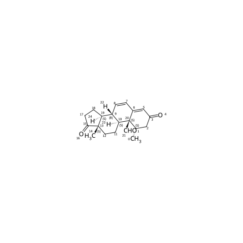 C[C@H]1CC(=O)C=C2C=C[C@@H]3[C@H](CC[C@]4(C)C(=O)CC[C@@H]34)[C@]21C=O